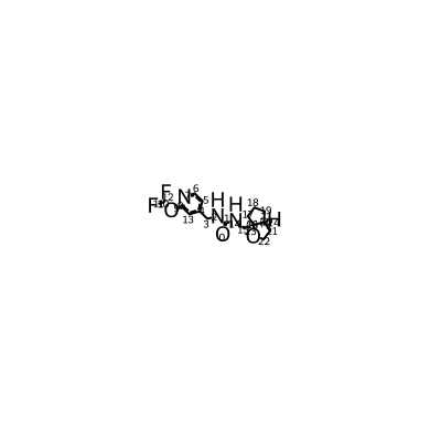 O=C(NCc1ccnc(OC(F)F)c1)NC[C@@]12CCC[C@@H]1CCO2